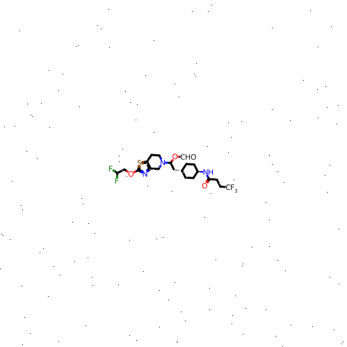 O=COC(C[C@H]1CC[C@H](NC(=O)CCC(F)(F)F)CC1)N1CCc2sc(OCC(F)F)nc2C1